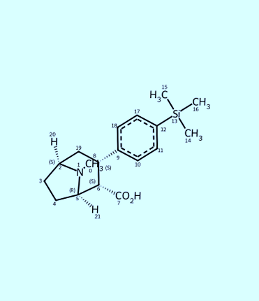 CN1[C@H]2CC[C@@H]1[C@@H](C(=O)O)[C@@H](c1ccc([Si](C)(C)C)cc1)C2